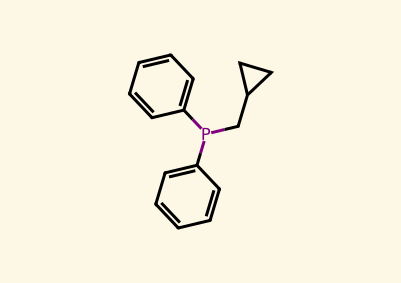 c1ccc(P(CC2CC2)c2ccccc2)cc1